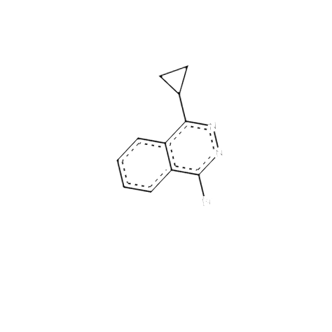 Brc1nnc(C2CC2)c2ccccc12